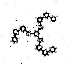 c1ccc(-c2cccc(-c3cccc(-c4nnc(-c5cc(-c6nnc(-c7cccc(-c8cccc(-c9cccnc9)n8)n7)s6)cc(-c6nnc(-c7cccc(-c8cccc(-c9ccccn9)n8)n7)s6)c5)s4)n3)n2)nc1